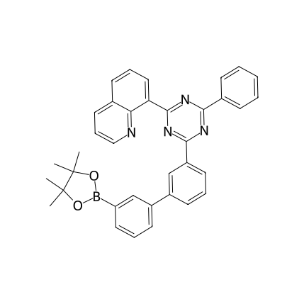 CC1(C)OB(c2cccc(-c3cccc(-c4nc(-c5ccccc5)nc(-c5cccc6cccnc56)n4)c3)c2)OC1(C)C